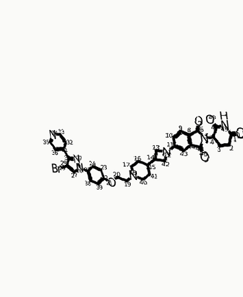 O=C1CCC(N2C(=O)c3ccc(N4CC(C5CCN(CCOc6ccc(-n7cc(Br)c(-c8ccncc8)n7)cc6)CC5)C4)cc3C2=O)C(=O)N1